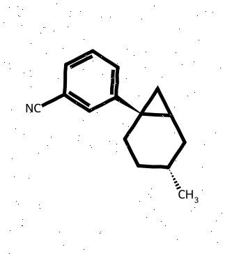 C[C@@H]1CC[C@]2(c3cccc(C#N)c3)CC2C1